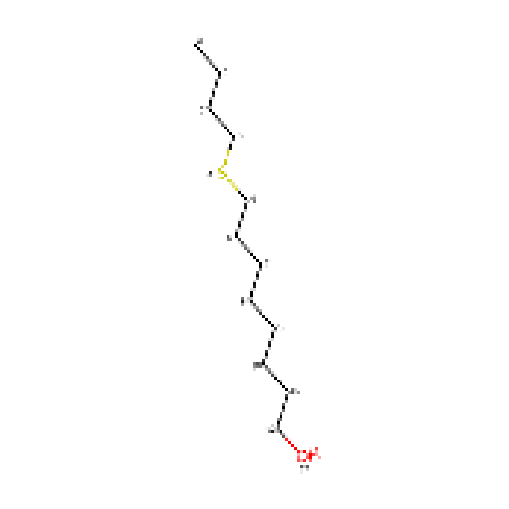 CCCCSCCCCCCCCO